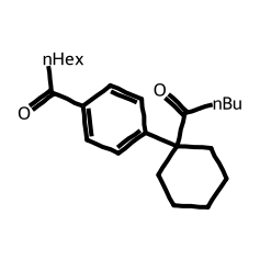 CCCCCCC(=O)c1ccc(C2(C(=O)CCCC)CCCCC2)cc1